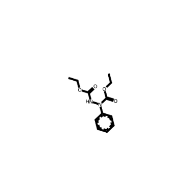 CCOC(=O)NN(C(=O)OCC)c1ccccc1